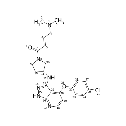 CN(C)C/C=C/C(=O)N1CC[C@@H](Nc2n[nH]c3nccc(Oc4ccc(Cl)cc4)c23)C1